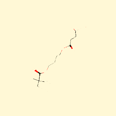 CCC(C)(C)C(=O)OCCCCOC(=O)CCC(O)O